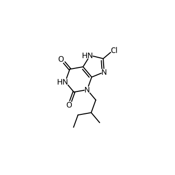 CCC(C)Cn1c(=O)[nH]c(=O)c2[nH]c(Cl)nc21